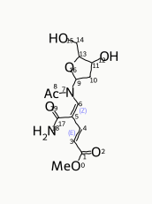 COC(=O)/C=C/C(=C/N(C(C)=O)C1CC(O)C(CO)O1)C(N)=O